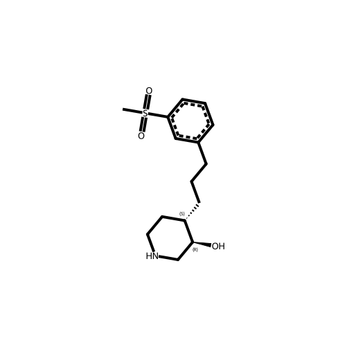 CS(=O)(=O)c1cccc(CCC[C@H]2CCNC[C@@H]2O)c1